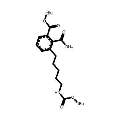 CC(C)(C)OC(=O)NCCCCCc1cccc(C(=O)OC(C)(C)C)c1C(N)=O